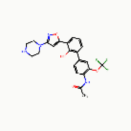 CC(=O)Nc1ccc(-c2cccc(-c3cc(N4CCNCC4)no3)c2O)cc1OC(F)(F)F